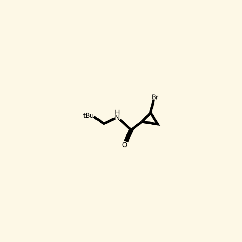 CC(C)(C)CNC(=O)C1CC1Br